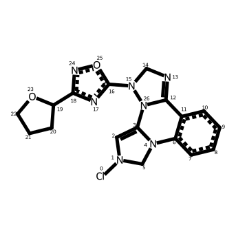 ClN1C=C2N(C1)c1ccccc1C1=NCN(c3nc(C4CCCO4)no3)N21